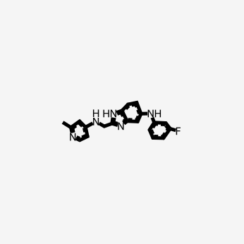 Cc1cc(NCc2nc3cc(Nc4cccc(F)c4)ccc3[nH]2)ccn1